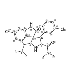 CC(C)CC1NC(C(=O)N(C)C)C(c2cccc(Cl)c2)C12C(=O)Nc1cc(Cl)ccc12